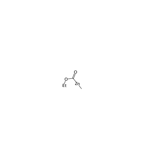 CCO[C](=O)[Zn][CH3]